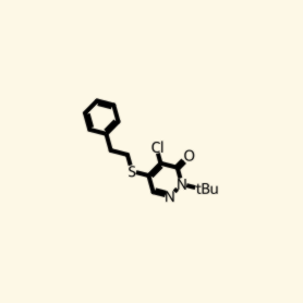 CC(C)(C)n1ncc(SCCc2ccccc2)c(Cl)c1=O